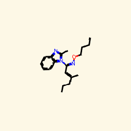 CCCCO/N=C(/C=C(\C)CCC)n1c(C)nc2ccccc21